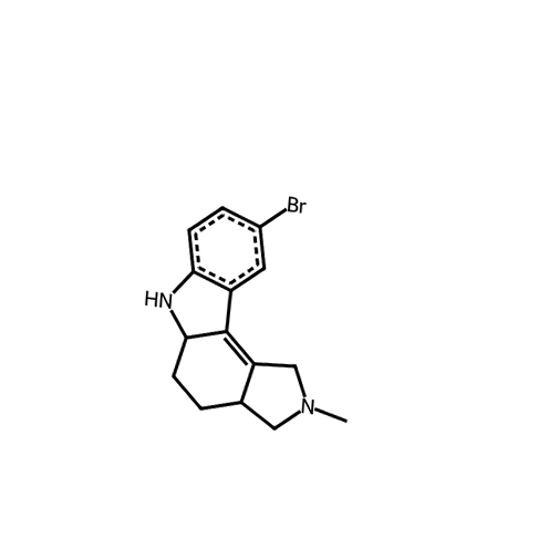 CN1CC2=C3c4cc(Br)ccc4NC3CCC2C1